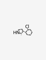 Clc1ccccc1-c1[c][nH]cc1